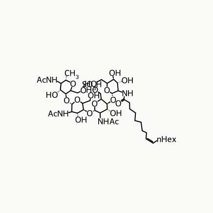 CCCCCC/C=C\CCCCCCCC(=O)NC1[C@H](O[C@@H]2C(CO)O[C@@H](O[C@@H]3C(CO)O[C@@H](O[C@@H]4C(COS(=O)(=O)O)O[C@@H](C)C(NC(C)=O)[C@H]4O)C(NC(C)=O)[C@H]3O)C(NC(C)=O)[C@H]2O)OC(CO)[C@@H](O)[C@@H]1O